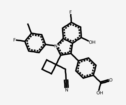 Cc1cc(-n2c(C3(CC#N)CCC3)c(-c3ccc(C(=O)O)cc3)c3c(O)cc(F)cc32)ccc1F